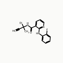 C#CC(C)(CC)NC(=O)c1cccnc1Nc1ccccc1F